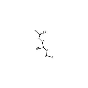 [CH2]C(F)CCC(F)CCC